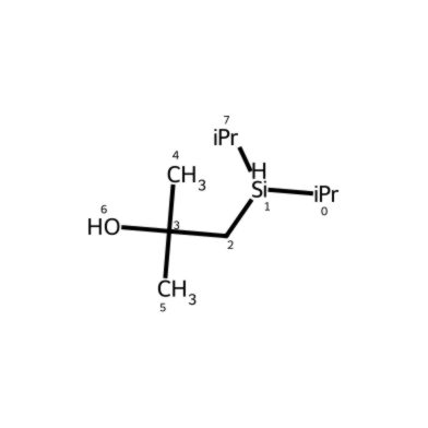 CC(C)[SiH](CC(C)(C)O)C(C)C